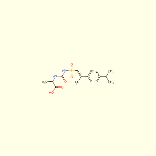 C/C(=C\S(=O)(=O)NC(=O)NC(C)C(=O)O)c1ccc(C(C)C)cc1